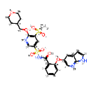 CS(=O)(=O)c1cc(S(=O)(=O)NC(=O)c2ccccc2Oc2cnc3[nH]ccc3c2)cnc1OCC1CCOCC1